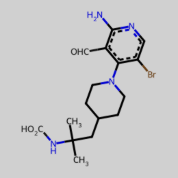 CC(C)(CC1CCN(c2c(Br)cnc(N)c2C=O)CC1)NC(=O)O